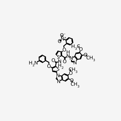 COc1cc2ncn(-c3cc(OCc4cccc(N)c4)c(C(N)=O)s3)c2cc1OC.COc1cc2ncn(NC(=O)c3sccc3OCc3ccccc3[N+](=O)[O-])c2cc1OC